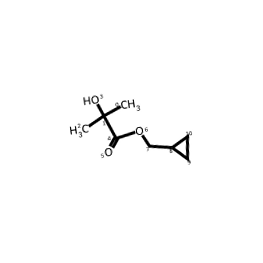 CC(C)(O)C(=O)OCC1CC1